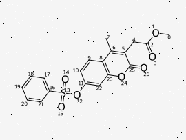 COC(=O)Cc1c(C)c2ccc(OS(=O)(=O)c3ccccc3)cc2oc1=O